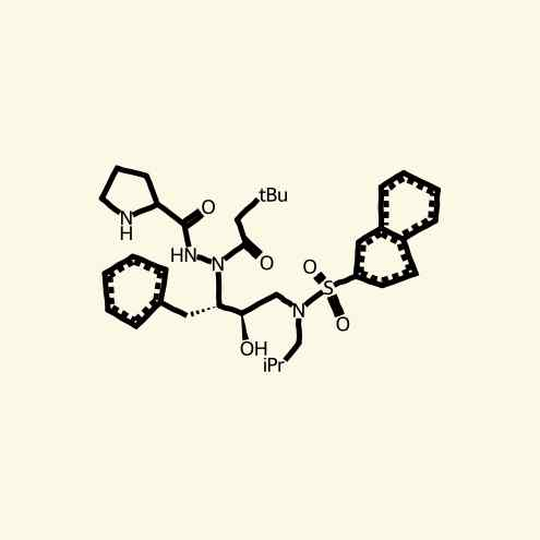 CC(C)CN(C[C@@H](O)[C@H](Cc1ccccc1)N(NC(=O)C1CCCN1)C(=O)CC(C)(C)C)S(=O)(=O)c1ccc2ccccc2c1